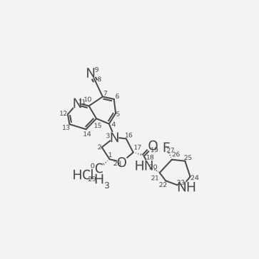 C[C@@H]1CN(c2ccc(C#N)c3ncccc23)C[C@H](C(=O)N[C@H]2CNCC[C@H]2F)O1.Cl